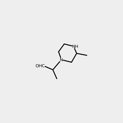 CC1CN(C(C)C=O)CCN1